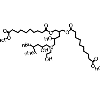 CCCCCCCCOC(=O)CCCCCCCCC(=O)OCC(COC(=O)CCCCCCCCC(=O)OCCCCCCCC)CC(O)CN(CCO)CC(O)CC(CCCC)CCCCCC